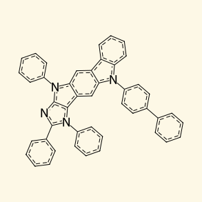 c1ccc(-c2ccc(-n3c4ccccc4c4cc5c(cc43)c3c(nc(-c4ccccc4)n3-c3ccccc3)n5-c3ccccc3)cc2)cc1